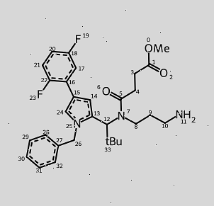 COC(=O)CCC(=O)N(CCCN)C(c1cc(-c2cc(F)ccc2F)cn1Cc1ccccc1)C(C)(C)C